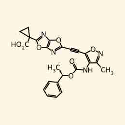 Cc1noc(C#Cc2nc3oc(C4(C(=O)O)CC4)nc3o2)c1NC(=O)O[C@H](C)c1ccccc1